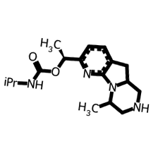 CC(C)NC(=O)O[C@@H](C)c1ccc2c(n1)N1C(C)CNCC1C2